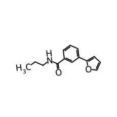 CCCNC(=O)c1cccc(-c2ccco2)c1